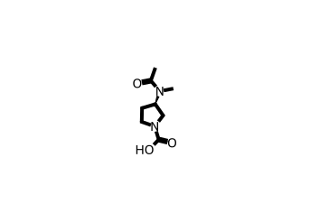 CC(=O)N(C)[C@@H]1CCN(C(=O)O)C1